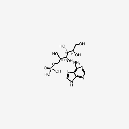 Nc1ncnc2[nH]cnc12.O=P(O)(O)OC[C@@H](O)[C@@H](O)[C@H](O)[C@H](O)CO